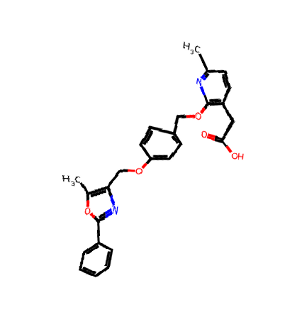 Cc1ccc(CC(=O)O)c(OCc2ccc(OCc3nc(-c4ccccc4)oc3C)cc2)n1